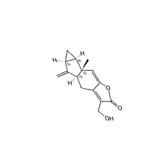 C=C1[C@H]2C[C@H]2[C@]2(C)C=C3OC(=O)C(CO)=C3C[C@@H]12